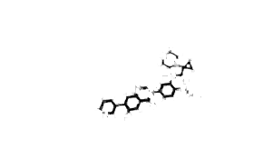 O=C(Nc1cc(-n2cnc3cc(-c4cccnc4)c(F)cc3c2=O)ccc1OC(F)(F)F)C1(N2CCOCC2)CC1